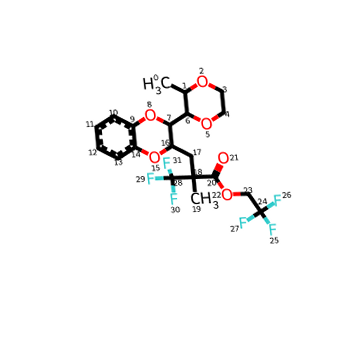 CC1OCCOC1C1Oc2ccccc2OC1CC(C)(C(=O)OCC(F)(F)F)C(F)(F)F